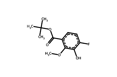 COc1c(C(=O)OC(C)(C)C)ccc(F)c1O